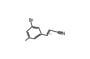 Cc1cc(Br)cc(/C=C/C#N)c1